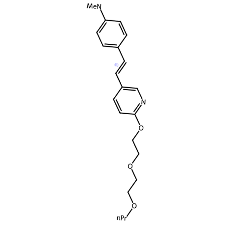 CCCOCCOCCOc1ccc(/C=C/c2ccc(NC)cc2)cn1